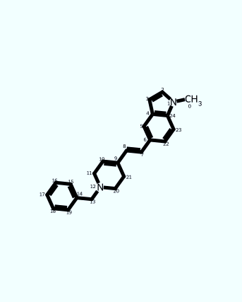 Cn1ccc2cc(C=CC3=CCN(Cc4ccccc4)CC3)ccc21